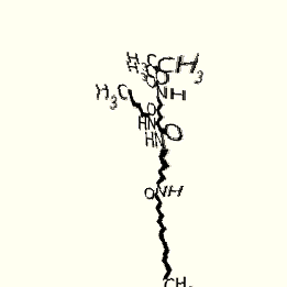 CCCCCCCCCCCC(=O)NCCCCCCNC(=O)C(CCCCNC(=O)OC(C)(C)C)NC(=O)CCCCC